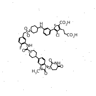 Cn1c(=O)n([C@@H]2CCC(=O)NC2=O)c2ccc(C3CCN(C(=O)Nc4cc(CS(=O)(=O)N5CCC(Nc6cccc(-c7sc(C(=O)O)c(CCC(=O)O)c7Cl)c6)CC5)ccc4F)CC3)cc21